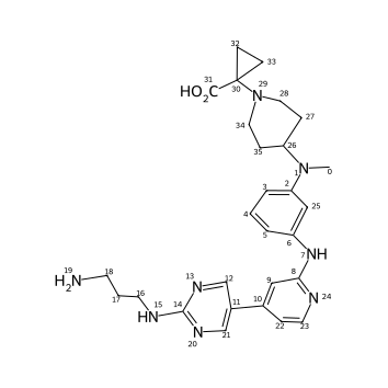 CN(c1cccc(Nc2cc(-c3cnc(NCCCN)nc3)ccn2)c1)C1CCN(C2(C(=O)O)CC2)CC1